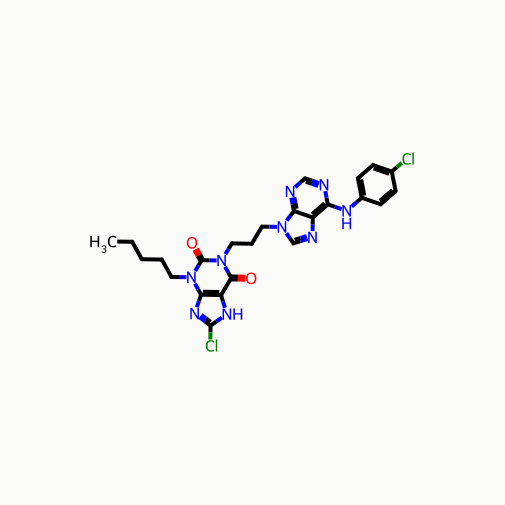 CCCCCn1c(=O)n(CCCn2cnc3c(Nc4ccc(Cl)cc4)ncnc32)c(=O)c2[nH]c(Cl)nc21